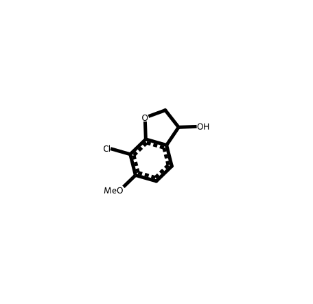 COc1ccc2c(c1Cl)OCC2O